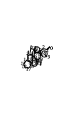 C=CCC1O[C@@H]2C[C@@]1(OC)C[C@H]1OC3(CCCCC3)O[C@@H]21